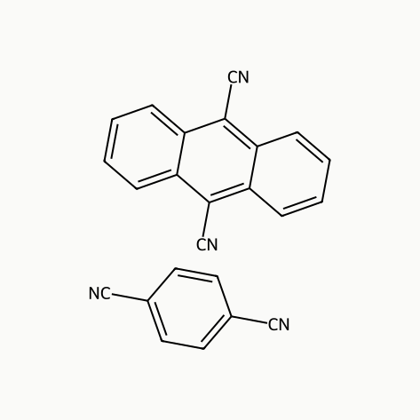 N#Cc1c2ccccc2c(C#N)c2ccccc12.N#Cc1ccc(C#N)cc1